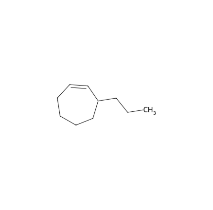 CCCC1C=CCCCC1